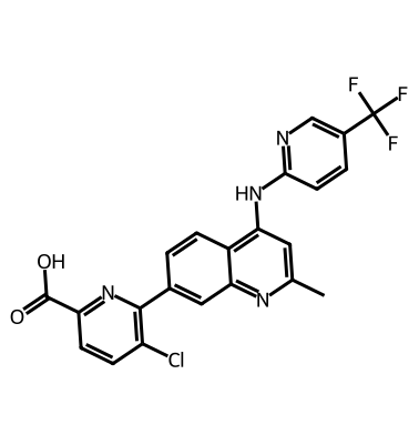 Cc1cc(Nc2ccc(C(F)(F)F)cn2)c2ccc(-c3nc(C(=O)O)ccc3Cl)cc2n1